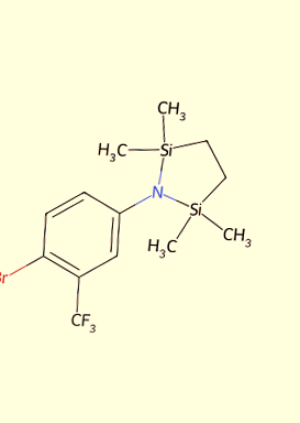 C[Si]1(C)CC[Si](C)(C)N1c1ccc(Br)c(C(F)(F)F)c1